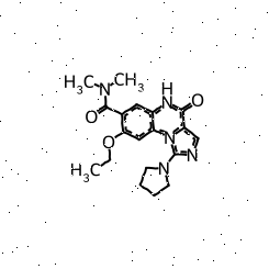 CCOc1cc2c(cc1C(=O)N(C)C)[nH]c(=O)c1cnc(N3CCCC3)n12